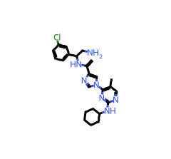 C=C(NC(CN)c1cccc(Cl)c1)c1cn(-c2nc(NC3CCCCC3)ncc2C)cn1